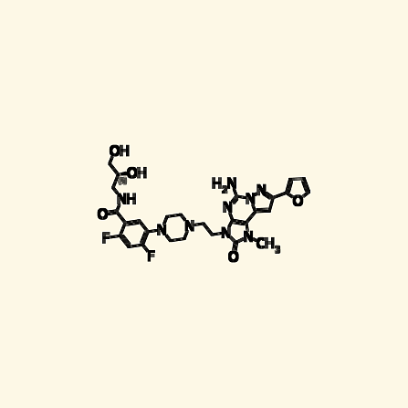 Cn1c(=O)n(CCN2CCN(c3cc(C(=O)NC[C@H](O)CO)c(F)cc3F)CC2)c2nc(N)n3nc(-c4ccco4)cc3c21